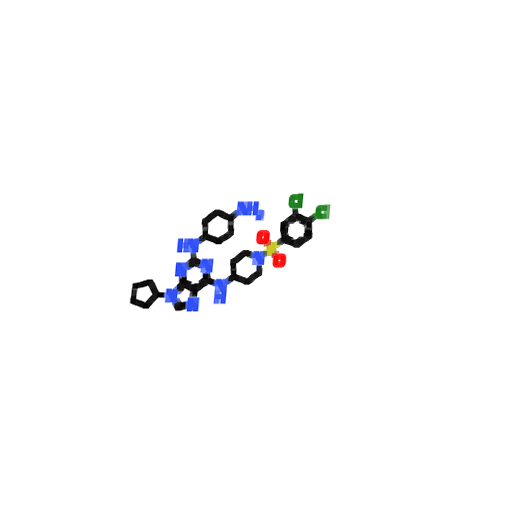 NC1CCC(Nc2nc(NC3CCN(S(=O)(=O)c4ccc(Cl)c(Cl)c4)CC3)c3ncn(C4CCCC4)c3n2)CC1